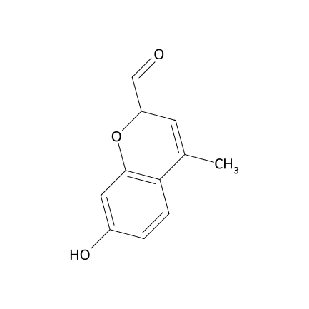 CC1=CC(C=O)Oc2cc(O)ccc21